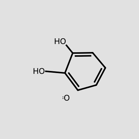 Oc1ccccc1O.[O]